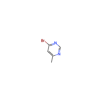 Cc1cc(Br)ncn1